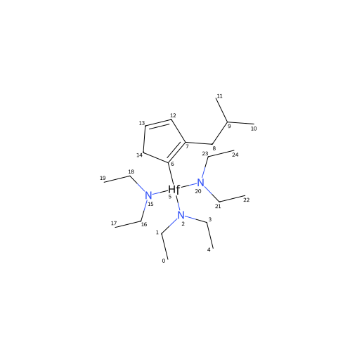 CC[N](CC)[Hf]([C]1=C(CC(C)C)C=CC1)([N](CC)CC)[N](CC)CC